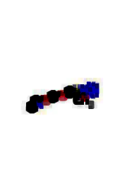 Cc1c(C(=O)Nc2nnn[nH]2)sc2ccc(OCc3ccc(OCc4ccc5ccccc5n4)cc3)cc12